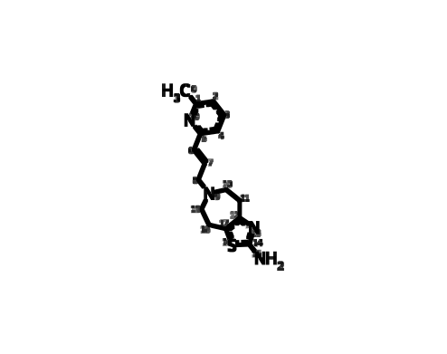 Cc1cccc(/C=C/CN2CCc3nc(N)sc3CC2)n1